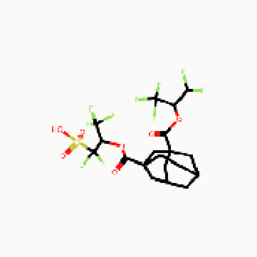 O=C(OC(C(F)F)C(F)(F)F)C12CC3CC(C1)CC(C(=O)OC(C(F)(F)F)C(F)(F)S(=O)(=O)O)(C3)C2